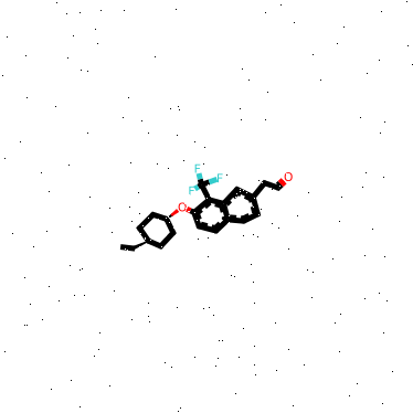 CC[C@H]1CC[C@@H](Oc2ccc3ccc(CC=O)cc3c2C(F)(F)F)CC1